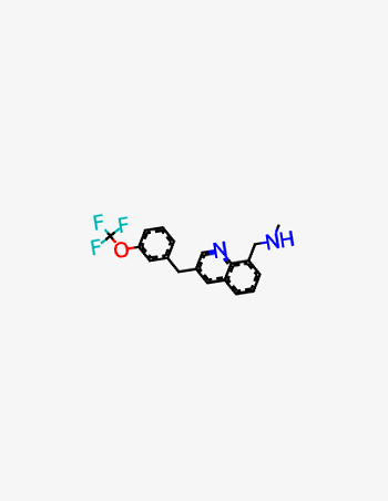 CNCc1cccc2cc(Cc3cccc(OC(F)(F)F)c3)cnc12